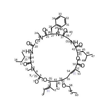 C/C=C(\C)[C@H]1OC(=O)[C@H](C)N(C)C(=O)[C@H](C(C)CC)NC(=O)CN(C)C(=O)[C@@H](Cc2ccccc2)N(C)C(=O)[C@H](C)NC(=O)[C@@H](CC(C)C)OC(=O)/C(C)=C/C[C@H](OCSC)[C@H]1C